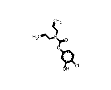 C=CCN(CC=C)C(=O)Oc1ccc(Cl)c(O)c1